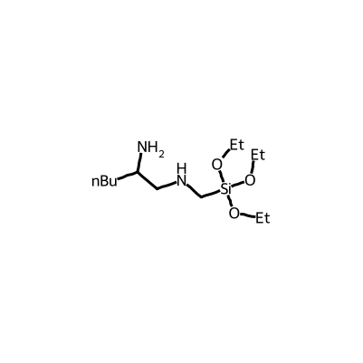 CCCCC(N)CNC[Si](OCC)(OCC)OCC